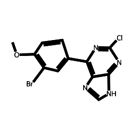 COc1ccc(-c2nc(Cl)nc3[nH]cnc23)cc1Br